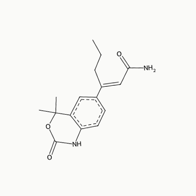 CCC/C(=C\C(N)=O)c1ccc2c(c1)C(C)(C)OC(=O)N2